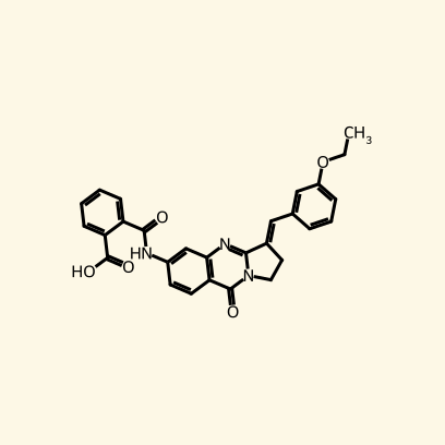 CCOc1cccc(C=C2CCn3c2nc2cc(NC(=O)c4ccccc4C(=O)O)ccc2c3=O)c1